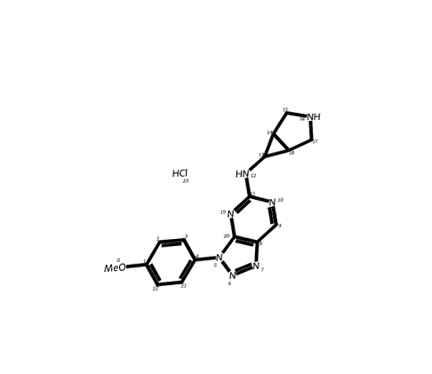 COc1ccc(-n2nnc3cnc(NC4C5CNCC54)nc32)cc1.Cl